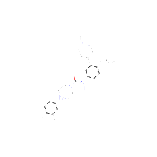 CCCN1CCC(c2cc(NC(=O)N3CCN(c4ccc(C)c(C)c4)CC3)ccc2OC)CC1